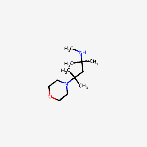 CNC(C)(C)CC(C)(C)N1CCOCC1